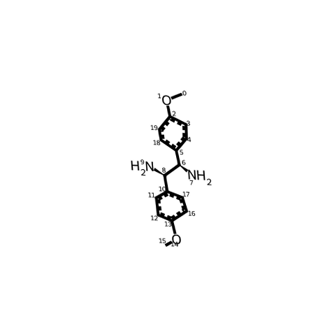 COc1ccc([C@@H](N)[C@H](N)c2ccc(OC)cc2)cc1